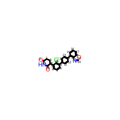 O=C1CCC(c2cccc(-c3ccc(-c4cccc5ocnc45)cc3)c2Cl)C(=O)N1